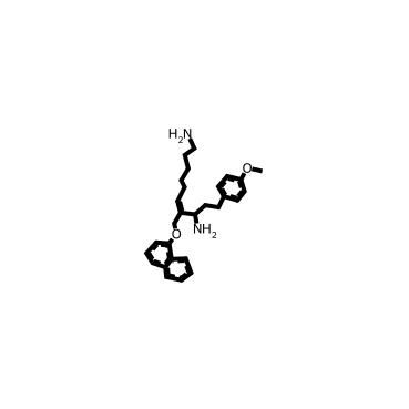 COc1ccc(CCC(N)C(=CCCCCCN)COc2cccc3ccccc23)cc1